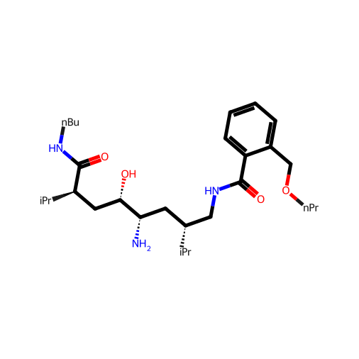 CCCCNC(=O)[C@@H](C[C@H](O)[C@@H](N)C[C@H](CNC(=O)c1ccccc1COCCC)C(C)C)C(C)C